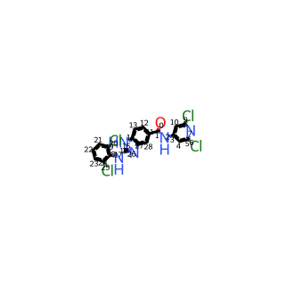 O=C(Nc1cc(Cl)nc(Cl)c1)c1ccc2[nH]c(Nc3c(Cl)cccc3Cl)nc2c1